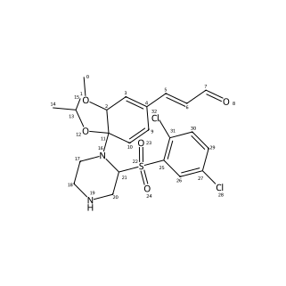 COC1C=C(C=CC=O)C=CC1(OC(C)C)N1CCNCC1S(=O)(=O)c1cc(Cl)ccc1Cl